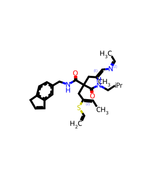 C=CS/C(=C\C)CC(C/C(C)=C/N=C\C)(C(=O)NCc1ccc2c(c1)C=CC2)C(=O)NCC(C)C